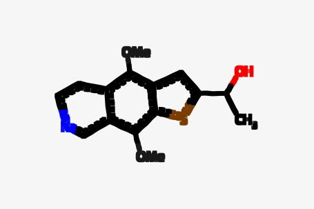 COc1c2ccncc2c(OC)c2sc(C(C)O)cc12